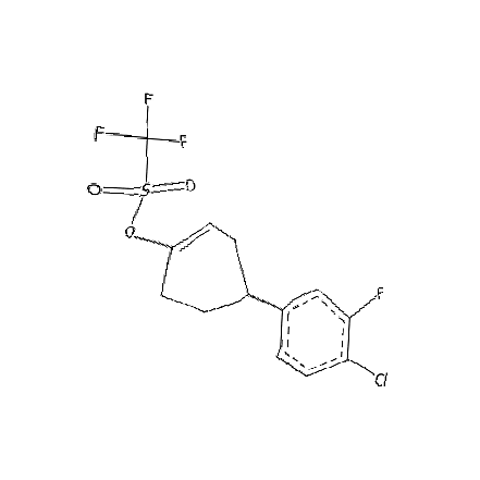 O=S(=O)(OC1=CCC(c2ccc(Cl)c(F)c2)CC1)C(F)(F)F